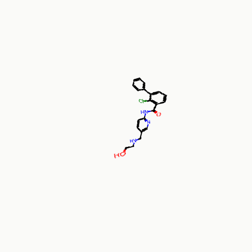 O=C(Nc1ccc(CNCCO)cn1)c1cccc(-c2ccccc2)c1Cl